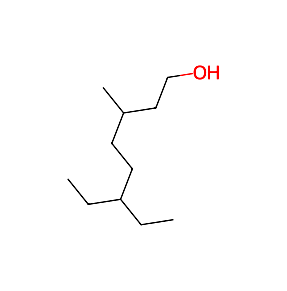 CCC(CC)CCC(C)CCO